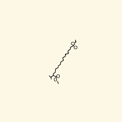 CCOC(=O)CCCCCCCCCCCCCCCC(C(=O)OCC)C(C)C